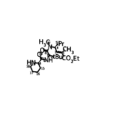 CCOC(=O)/C(C)=C/[C@H](C(C)C)N(C)C(=O)C(NC(=O)[C@H]1CCCCN1)C(C)(C)C